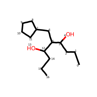 CCCC(O)C(CC1CCCC1)C(O)CCC